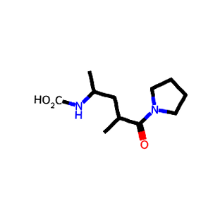 CC(CC(C)C(=O)N1CCCC1)NC(=O)O